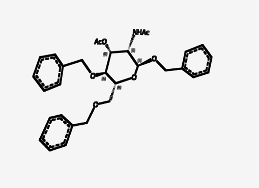 CC(=O)N[C@@H]1[C@@H](OCc2ccccc2)O[C@H](COCc2ccccc2)[C@@H](OCc2ccccc2)[C@@H]1OC(C)=O